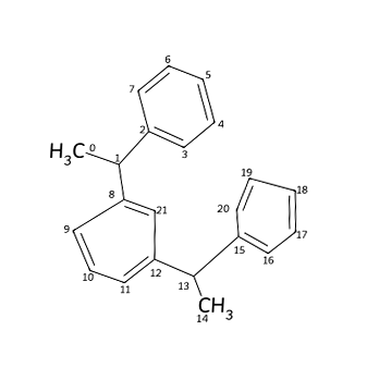 CC(c1ccccc1)c1cccc(C(C)c2ccccc2)c1